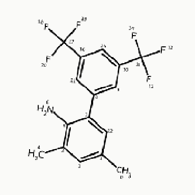 Cc1cc(C)c(N)c(-c2cc(C(F)(F)F)cc(C(F)(F)F)c2)c1